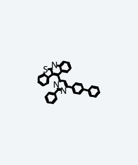 c1ccc(-c2ccc(-c3cc(-c4c5ccccc5nc5sc6ccccc6c45)nc(-c4ccccc4)n3)cc2)cc1